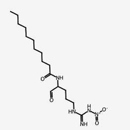 CCCCCCCCCCC(=O)NC(C=O)CCCNC(=N)N[N+](=O)[O-]